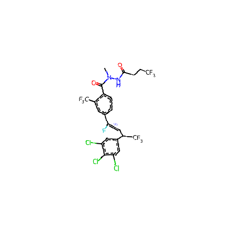 CN(NC(=O)CCC(F)(F)F)C(=O)c1ccc(/C(F)=C/C(c2cc(Cl)c(Cl)c(Cl)c2)C(F)(F)F)cc1C(F)(F)F